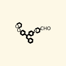 O=CC1CCN(c2ccc(/C(=C\c3ccccc3)c3ccc(OC4CCCCO4)cc3)cc2)CC1